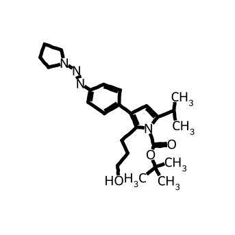 CC(C)c1cc(-c2ccc(N=NN3CCCC3)cc2)c(CCCO)n1C(=O)OC(C)(C)C